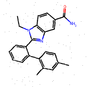 CCn1c(-c2ccccc2-c2ccc(C)cc2C)nc2cc(C(N)=O)ccc21